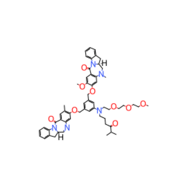 COCCOCCOCCN(CCCC(=O)C(C)C)c1cc(COc2cc3c(cc2C)C(=O)N2c4ccccc4C[C@H]2C=N3)cc(COc2cc3c(cc2OC)C(=O)N2c4ccccc4C[C@H]2CN3C)c1